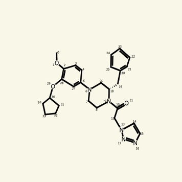 COc1ccc(N2CCN(C(=O)Cn3ccnn3)[C@@H](Cc3ccccc3)C2)cc1OC1CCCC1